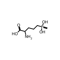 C=P(O)(O)CCCC(N)C(=O)O